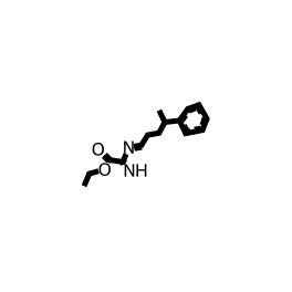 CCOC(=O)C(=N)/N=C/CCC(C)c1ccccc1